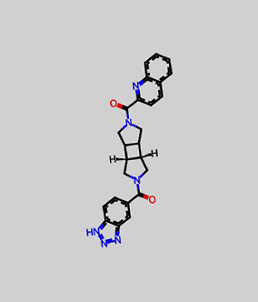 O=C(c1ccc2[nH]nnc2c1)N1C[C@@H]2C3CN(C(=O)c4ccc5ccccc5n4)CC3[C@@H]2C1